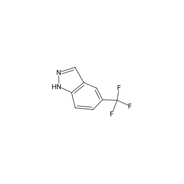 FC(F)(F)c1ccc2[nH]ncc2c1